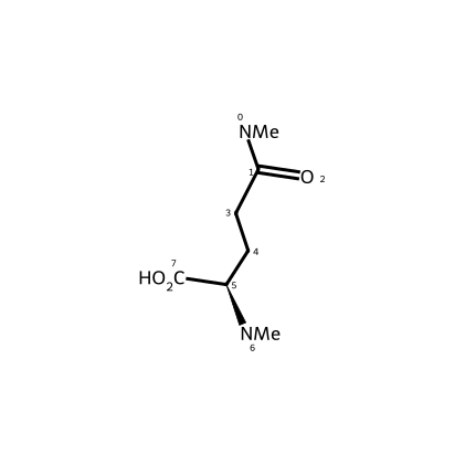 CNC(=O)CC[C@@H](NC)C(=O)O